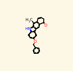 Cc1c2c(cc3c1[nH]c1ccc(OCc4ccccc4)cc13)C(=O)CC=C2